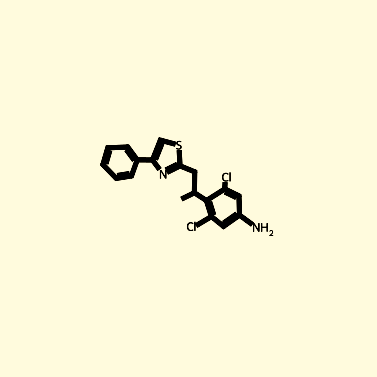 CC(Cc1nc(-c2ccccc2)cs1)c1c(Cl)cc(N)cc1Cl